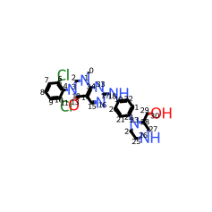 CN1CN(c2c(Cl)cccc2Cl)C(=O)c2cnc(Nc3ccc(N4CCNCC4CO)cc3)nc21